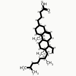 CC(C)CCC[C@@H](C)[C@H]1CCC2C3CC=C4CC(CCCC(=O)O)CC[C@]4(C)C3CC[C@@]21C